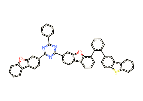 c1ccc(-c2nc(-c3ccc4c(c3)oc3ccccc34)nc(-c3ccc4c(c3)oc3c(-c5ccccc5-c5ccc6sc7ccccc7c6c5)cccc34)n2)cc1